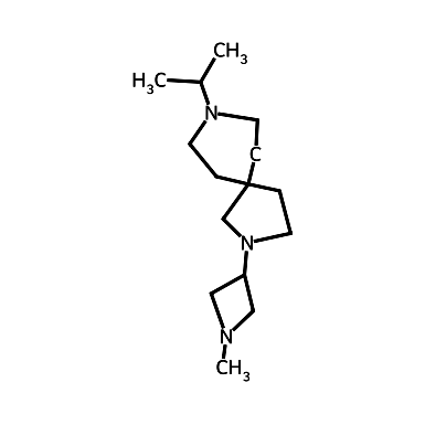 CC(C)N1CCC2(CC1)CCN(C1CN(C)C1)C2